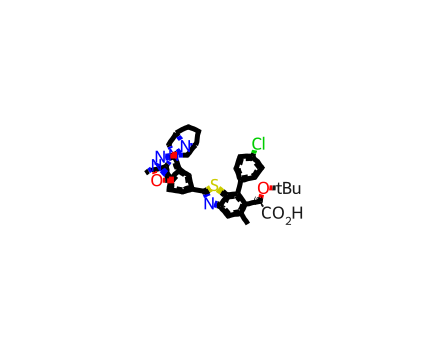 Cc1cc2nc(-c3ccc4c(c3)c(N3C5CCC3CN(C3COC3)C5)nn4C)sc2c(-c2ccc(Cl)cc2)c1[C@H](OC(C)(C)C)C(=O)O